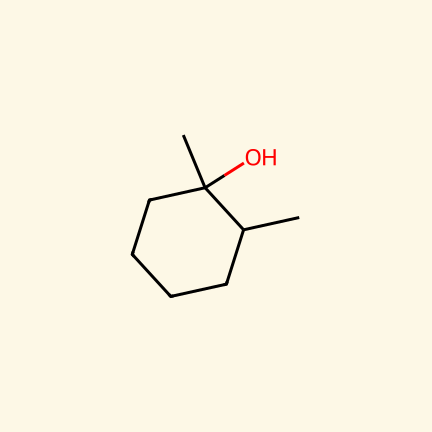 CC1CCCCC1(C)O